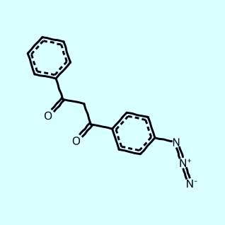 [N-]=[N+]=Nc1ccc(C(=O)CC(=O)c2ccccc2)cc1